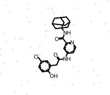 O=C(Cc1cc(Cl)ccc1O)Nc1ccnc(C(=O)NC23CC4CC(CC(C4)C2)C3)c1